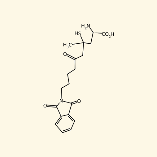 CC(S)(CC(=O)CCCCN1C(=O)c2ccccc2C1=O)C[C@H](N)C(=O)O